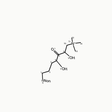 CCCCCCCCCCCCC(O)C(=O)C(O)C[N+](C)(C)C